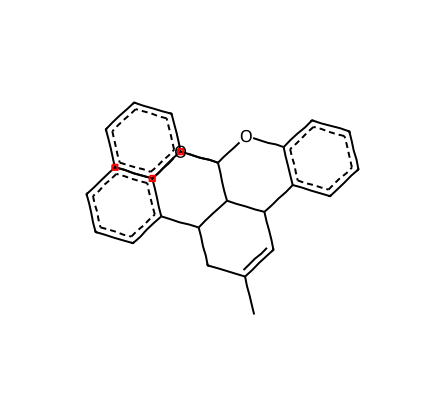 CC1=CC2c3ccccc3OC3(c4ccccc4)Oc4ccccc4C(C1)C23